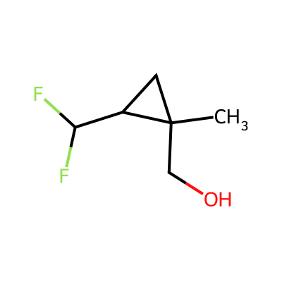 CC1(CO)CC1C(F)F